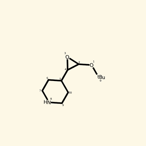 CC(C)(C)OC1OC1C1CCNCC1